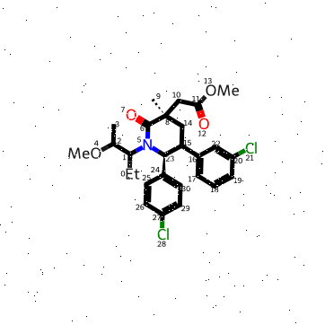 CCC(C(C)OC)N1C(=O)[C@@](C)(CC(=O)OC)CC(c2cccc(Cl)c2)[C@H]1c1ccc(Cl)cc1